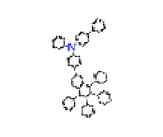 c1ccc(-c2ccc(N(c3ccccc3)c3ccc(-c4ccc5c(-c6ccccc6)c(-c6ccccc6)c(-c6ccccc6)c(-c6ccccc6)c5c4)cc3)cc2)cc1